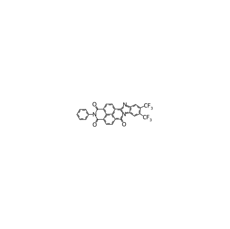 O=C1c2ccc3c(=O)n4c5cc(C(F)(F)F)c(C(F)(F)F)cc5nc4c4ccc(c2c34)C(=O)N1c1ccccc1